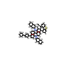 C=C/C=C\c1c(-c2cccc3sc4ccccc4c23)ccc(N(c2ccc3ccccc3c2)c2ccccc2-c2ccccc2N(c2ccc(-c3ccc(-c4ccccc4)cc3)cc2)c2ccc3ccccc3c2)c1C